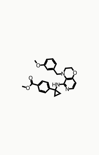 COC(=O)c1ccc(C2(Nc3nccc4c3N(Cc3cccc(OC)c3)CCO4)CC2)cc1